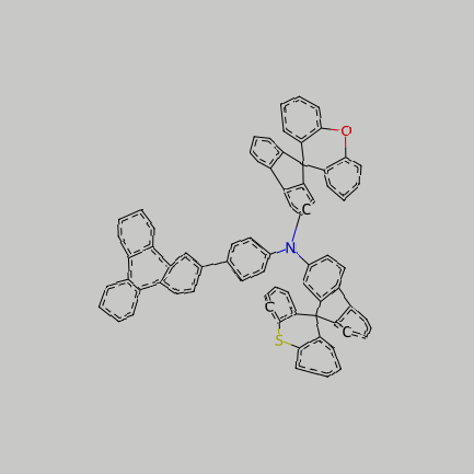 c1ccc2c(c1)Oc1ccccc1C21c2ccccc2-c2cc(N(c3ccc(-c4ccc5c6ccccc6c6ccccc6c5c4)cc3)c3ccc4c(c3)C3(c5ccccc5Sc5ccccc53)c3ccccc3-4)ccc21